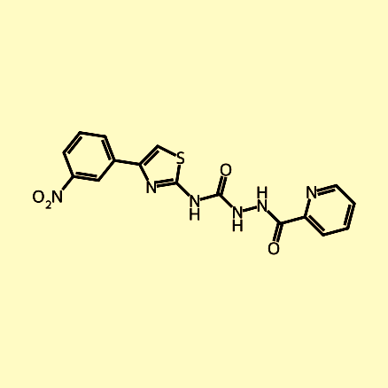 O=C(NNC(=O)c1ccccn1)Nc1nc(-c2cccc([N+](=O)[O-])c2)cs1